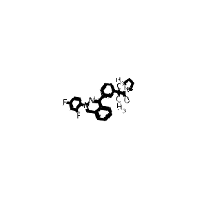 CC(C)(C(=O)N1CCCC1)c1cccc(C2=NN(c3ccc(F)cc3F)Cc3ccccc32)c1